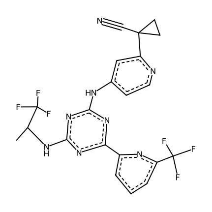 CC(Nc1nc(Nc2ccnc(C3(C#N)CC3)c2)nc(-c2cccc(C(F)(F)F)n2)n1)C(F)(F)F